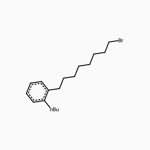 CCCCc1ccccc1CCCCCCCCBr